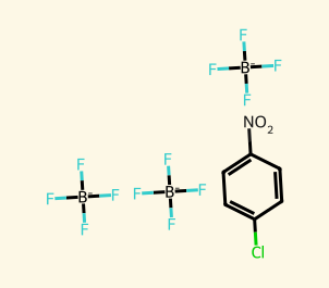 F[B-](F)(F)F.F[B-](F)(F)F.F[B-](F)(F)F.O=[N+]([O-])c1ccc(Cl)cc1